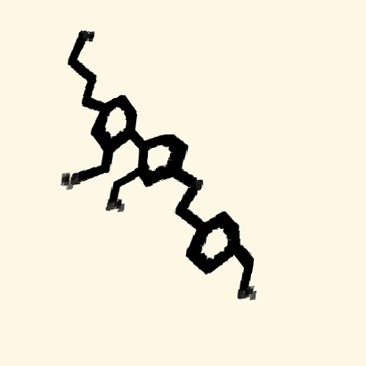 CCc1ccc(COc2ccc(-c3ccc(CCCO)cc3CC)c(CC)c2)cc1